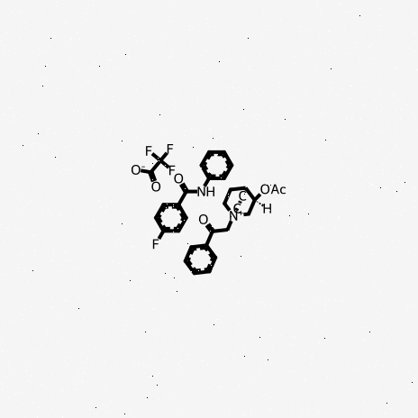 CC(=O)O[C@H]1C[N+]2(CC(=O)c3ccccc3)CCC1CC2.O=C(Nc1ccccc1)c1ccc(F)cc1.O=C([O-])C(F)(F)F